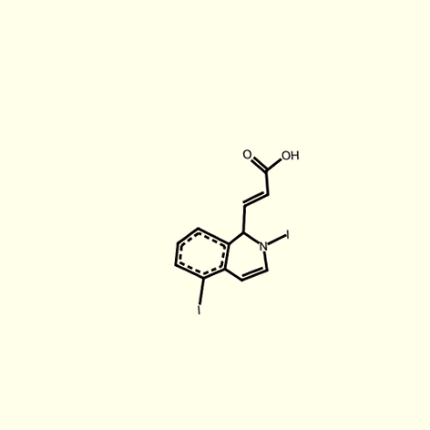 O=C(O)C=CC1c2cccc(I)c2C=CN1I